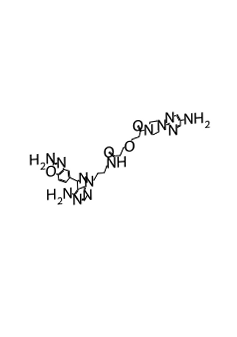 Nc1cnc(N2CCN(C(=O)CCOCCC(=O)NCCCCn3nc(-c4ccc5oc(N)nc5c4)c4c(N)ncnc43)CC2)nc1